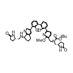 COc1nc(-c2cccc(-c3cccc(-c4cnc5c(c4)CCCC5NC[C@@H]4CCC(=O)N4)c3Cl)c2Cl)ccc1CN(C[C@@H]1CCC(=O)N1)C(=O)OC(C)(C)C